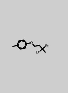 CCC(C)(CC)CCOc1ccc(C)cc1